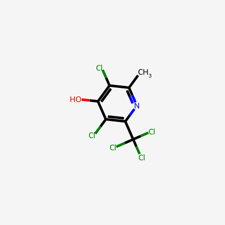 Cc1nc(C(Cl)(Cl)Cl)c(Cl)c(O)c1Cl